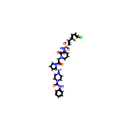 O=C(Nc1ccccc1)N1CCN(C[C@@H]2CCCN2C(=O)CN2CCC[C@H](NS(=O)(=O)/C=C/c3ccc(Cl)s3)C2=O)CC1